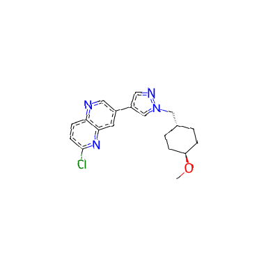 CO[C@H]1CC[C@H](Cn2cc(-c3cnc4ccc(Cl)nc4c3)cn2)CC1